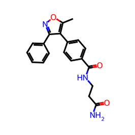 Cc1onc(-c2ccccc2)c1-c1ccc(C(=O)NCCC(N)=O)cc1